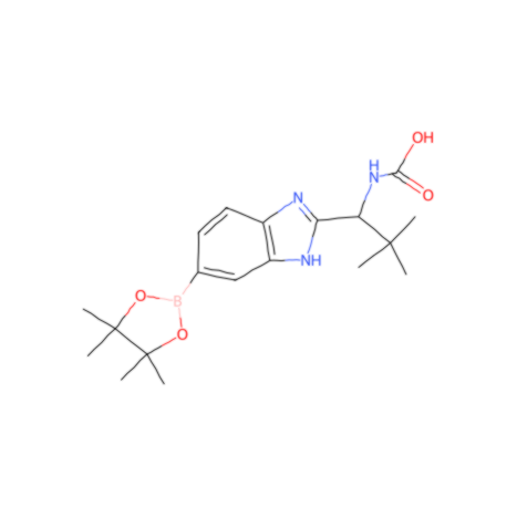 CC(C)(C)C(NC(=O)O)c1nc2ccc(B3OC(C)(C)C(C)(C)O3)cc2[nH]1